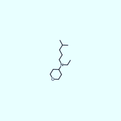 CCN(CCCC(C)C)C1CCOCC1